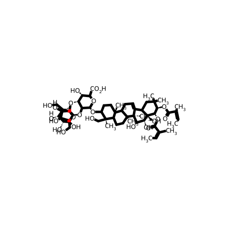 C/C=C(/C)C(=O)O[C@H]1[C@H](OC(=O)/C(C)=C\C)[C@@]2(CO)C(CC1(C)C)C1=CCC3[C@@]4(C)CCC(O[C@@H]5OC(C(=O)O)[C@@H](O)[C@@H](OC6OC(CO)C(O)C6O)C5O[C@@H]5OC(CO)[C@@H](O)[C@@H](O)C5O)[C@](C)(CO)C4CC[C@@]3(C)[C@]1(C)[C@@H](O)[C@H]2O